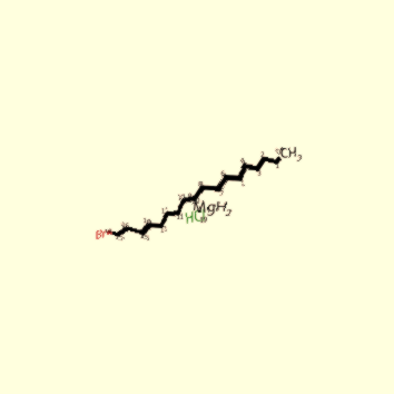 CCCCCCCCCCCCCCCCCCBr.Cl.[MgH2]